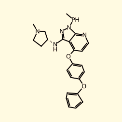 CPn1nc(N[C@@H]2CCN(C)C2)c2c(Oc3ccc(Oc4ccccc4)cc3)ccnc21